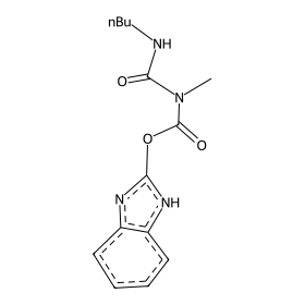 CCCCNC(=O)N(C)C(=O)Oc1nc2ccccc2[nH]1